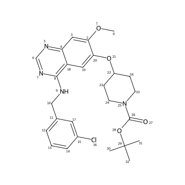 COc1cc2ncnc(NCc3cccc(Cl)c3)c2cc1OC1CCN(C(=O)OC(C)(C)C)CC1